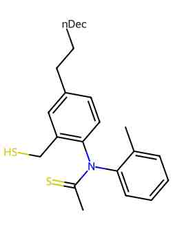 CCCCCCCCCCCCc1ccc(N(C(C)=S)c2ccccc2C)c(CS)c1